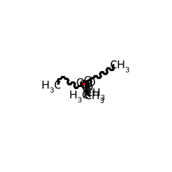 CC/C=C\C/C=C\C/C=C\C/C=C\C/C=C\C/C=C\CCC(=O)OC[C@@H](OC(=O)CC/C=C\C/C=C\C/C=C\C/C=C\C/C=C\C/C=C\CC)OP(=O)([O-])OCC[N+](C)(C)C